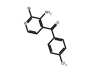 Nc1c(C(=O)c2ccc(C(F)(F)F)cc2)ccnc1Br